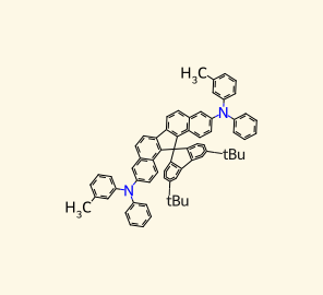 Cc1cccc(N(c2ccccc2)c2ccc3c4c(ccc3c2)-c2ccc3cc(N(c5ccccc5)c5cccc(C)c5)ccc3c2C42c3ccc(C(C)(C)C)cc3-c3cc(C(C)(C)C)ccc32)c1